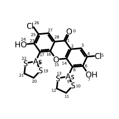 O=c1c2cc(Cl)c(O)c([As]3SCCS3)c2oc2c([As]3SCCS3)c(O)c(Cl)cc12